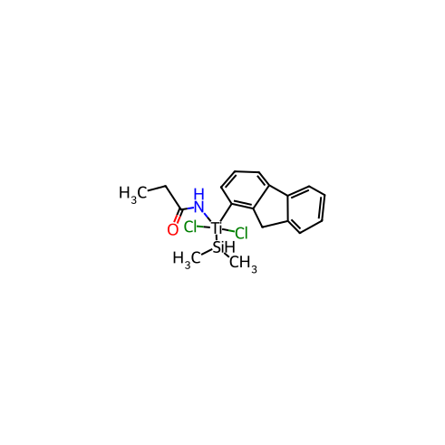 CCC(=O)[NH][Ti]([Cl])([Cl])([c]1cccc2c1Cc1ccccc1-2)[SiH](C)C